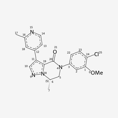 COc1cc(N2C[C@H](C)n3ncc(-c4ccnc(C)c4)c3C2=O)ccc1Cl